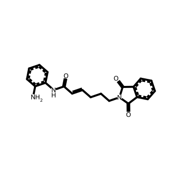 Nc1ccccc1NC(=O)C=CCCCN1C(=O)c2ccccc2C1=O